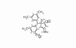 Cc1cc(C)cc(C(c2cc(C)cc(C)c2)[C]2([Ti+3])C=CC(C(C)(C)C)=C2)c1.[Cl-].[Cl-].[Cl-]